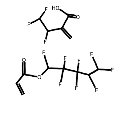 C=C(C(=O)O)C(F)C(F)F.C=CC(=O)OC(F)C(F)(F)C(F)(F)C(F)C(F)F